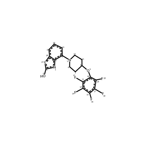 Oc1nc2c(N3CCC(Oc4c(F)c(F)c(F)c(F)c4F)CC3)cccc2s1